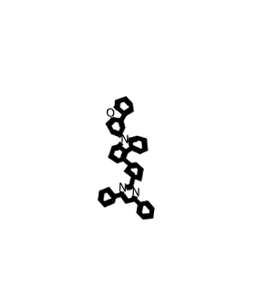 c1ccc(-c2cc(-c3ccccc3)nc(-c3cccc(-c4cccc5c4c4ccccc4n5-c4ccc5oc6ccccc6c5c4)c3)n2)cc1